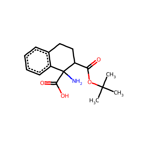 CC(C)(C)OC(=O)C1CCc2ccccc2C1(N)C(=O)O